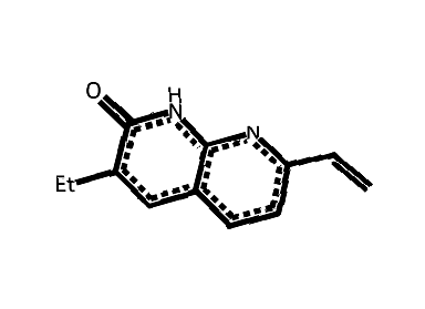 C=Cc1ccc2cc(CC)c(=O)[nH]c2n1